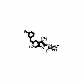 Cn1cc(C(=O)Nc2sc3c(c2C#N)CC(Cc2cccc(Br)c2)NC3)cn1